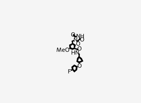 COc1cc(CN2C(=O)NC(=O)C2=O)cc(C(=O)NCc2ccc(Oc3ccc(F)cc3)cc2)c1